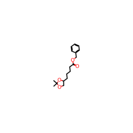 CC1(C)OCC(CCCCC(=O)OCc2ccccc2)O1